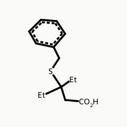 CCC(CC)(CC(=O)O)SCc1ccccc1